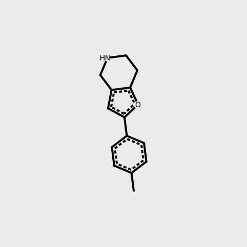 Cc1ccc(-c2cc3c(o2)CCNC3)cc1